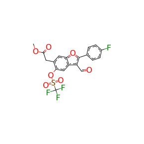 COC(=O)Cc1cc2oc(-c3ccc(F)cc3)c(C=O)c2cc1OS(=O)(=O)C(F)(F)F